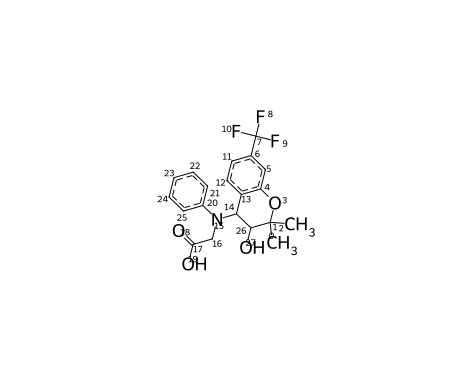 CC1(C)Oc2cc(C(F)(F)F)ccc2C(N(CC(=O)O)c2ccccc2)C1O